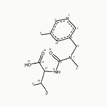 Cc1cncc(CN(C)C(=O)NC(C(=O)O)C(C)C)c1